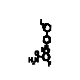 CCN1CCCC(c2ccc(-n3cc4cc(F)cc(C(N)=O)c4n3)cc2)C1